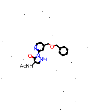 CC(=O)Nc1c[nH]n(-c2cc(COCc3ccccc3)ccn2)c1=O